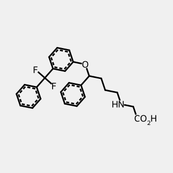 O=C(O)CNCCCC(Oc1cccc(C(F)(F)c2ccccc2)c1)c1ccccc1